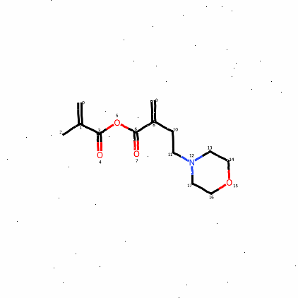 C=C(C)C(=O)OC(=O)C(=C)CCN1CCOCC1